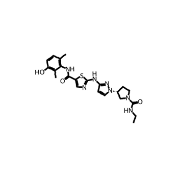 CCNC(=O)N1CC[C@@H](n2ccc(Nc3ncc(C(=O)Nc4c(C)ccc(O)c4C)s3)n2)C1